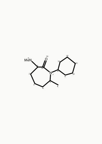 CNC1CCCC(C)N(C2CCCCC2)C1=O